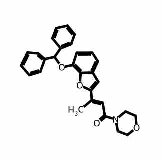 CC(=CC(=O)N1CCOCC1)c1cc2cccc(OC(c3ccccc3)c3ccccc3)c2o1